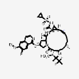 CCOc1cc2ccnc(O[C@@H]3C[C@H]4C(=O)N[C@]5(C(=O)NS(=O)(=O)C6CC6)C[C@H]5/C=C\CC[C@H](C)C[C@@H](CC)[C@H](N(C(=O)O)C(C)(C)C(C)(F)F)C(=O)N4C3)c2cc1F